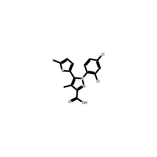 Cc1c(C(=O)O)nn(-c2ccc(Cl)cc2Cl)c1-c1ccc(I)s1